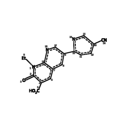 CCn1c(=O)c(C(=O)O)cc2cc(-c3ccc(C#N)cn3)cnc21